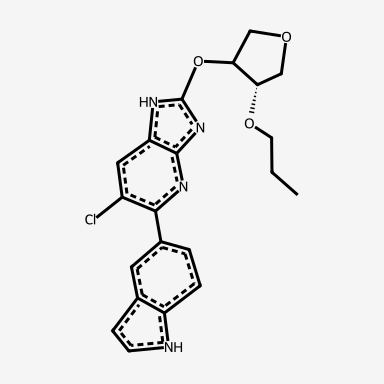 CCCO[C@H]1COCC1Oc1nc2nc(-c3ccc4[nH]ccc4c3)c(Cl)cc2[nH]1